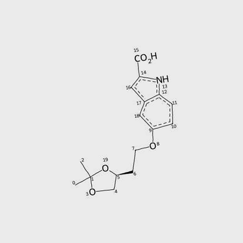 CC1(C)OC[C@H](CCOc2ccc3[nH]c(C(=O)O)cc3c2)O1